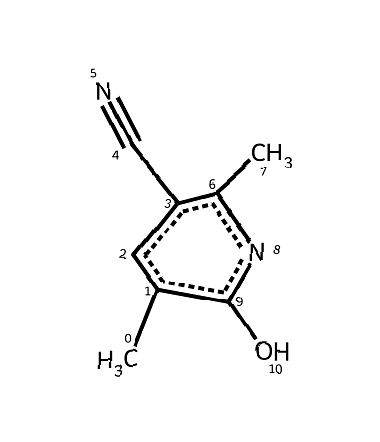 Cc1cc(C#N)c(C)nc1O